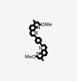 COc1cc(C)c2ccc3ccc(-c4ccc(-c5ccc6ccc7c(C)cc(OC)nc7c6n5)cc4)nc3c2n1